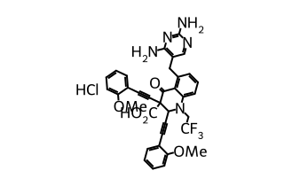 COc1ccccc1C#CC1N(CC(F)(F)F)c2cccc(Cc3cnc(N)nc3N)c2C(=O)C1(C#Cc1ccccc1OC)C(=O)O.Cl